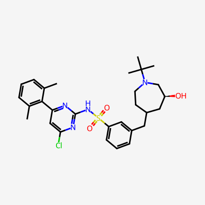 Cc1cccc(C)c1-c1cc(Cl)nc(NS(=O)(=O)c2cccc(CC3CCN(C(C)(C)C)C[C@@H](O)C3)c2)n1